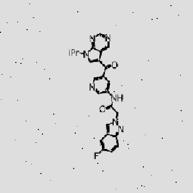 CC(C)n1cc(C(=O)c2cncc(NC(=O)Cn3cc4cc(F)ccc4n3)c2)c2cncnc21